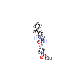 CC(C)(C)OC(=O)N1CCC(CCC(=O)Nc2nc3ccc(C(=O)c4ccccc4)cc3[nH]2)CC1